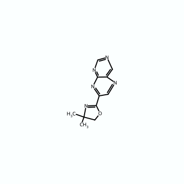 CC1(C)COC(c2cnc3cncnc3n2)=N1